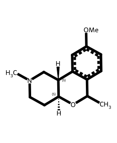 COc1ccc2c(c1)[C@H]1CN(C)CC[C@@H]1OC2C